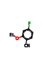 CCOc1cc(F)ccc1C#N